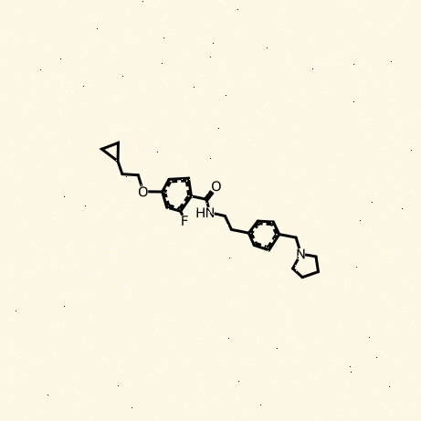 O=C(NCCc1ccc(CN2CCCC2)cc1)c1ccc(OCCC2CC2)cc1F